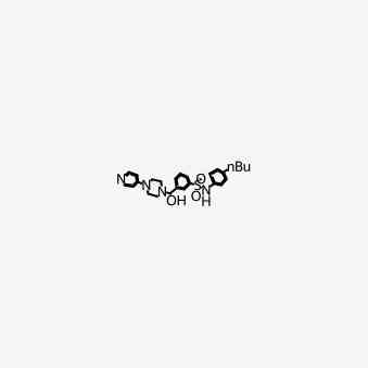 CCCCc1ccc(NS(=O)(=O)c2cccc(C(O)N3CCN(c4ccncc4)CC3)c2)cc1